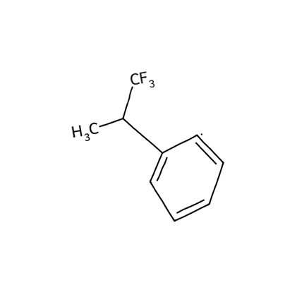 CC(c1[c]cccc1)C(F)(F)F